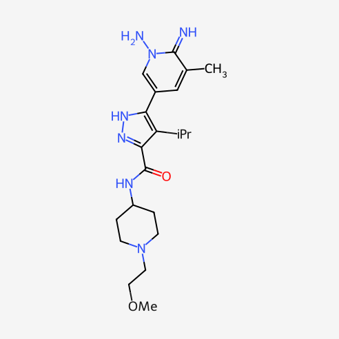 COCCN1CCC(NC(=O)c2n[nH]c(-c3cc(C)c(=N)n(N)c3)c2C(C)C)CC1